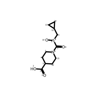 O=C(O)C1CCN(C(=O)[S+]([O-])CC2CC2)CC1